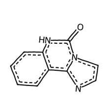 O=c1[nH]c2ccccc2c2nccn12